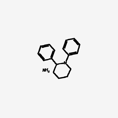 N.c1ccc(C2CCCCN2c2ccccc2)cc1